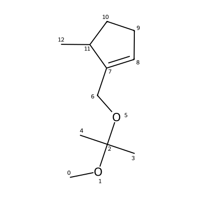 COC(C)(C)OCC1=CCCC1C